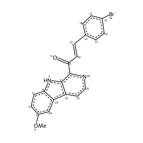 COc1ccc2[nH]c3c(C(=O)/C=C/c4ccc(Br)cc4)nccc3c2c1